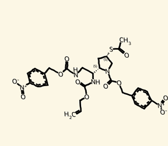 C=CCOC(=O)NC(CNC(=O)OCc1ccc([N+](=O)[O-])cc1)[C@@H]1C[C@H](SC(C)=O)CN1C(=O)OCc1ccc([N+](=O)[O-])cc1